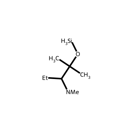 CCC(NC)C(C)(C)O[SiH3]